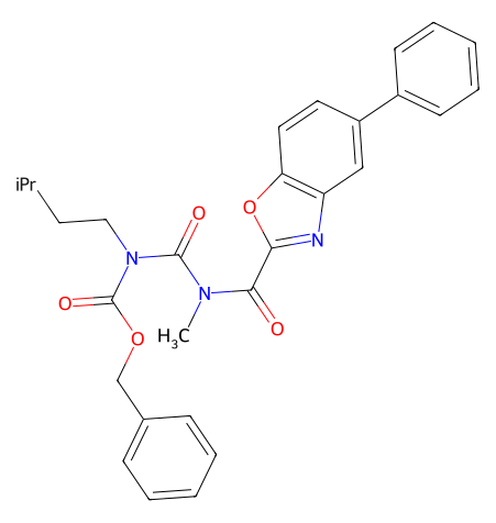 CC(C)CCN(C(=O)OCc1ccccc1)C(=O)N(C)C(=O)c1nc2cc(-c3ccccc3)ccc2o1